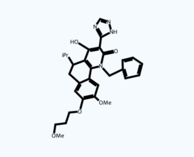 COCCCOc1cc2c(cc1OC)-c1c(c(O)c(-c3ncn[nH]3)c(=O)n1Cc1ccccc1)C(C(C)C)C2